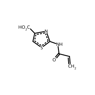 C=CC(=O)Nc1nc(C(=O)O)cs1